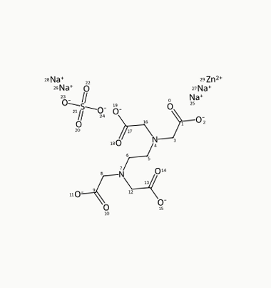 O=C([O-])CN(CCN(CC(=O)[O-])CC(=O)[O-])CC(=O)[O-].O=S(=O)([O-])[O-].[Na+].[Na+].[Na+].[Na+].[Zn+2]